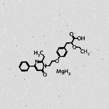 CCOC(Cc1ccc(OCCn2c(CC)nc(-c3ccccc3)cc2=O)cc1)C(=O)O.[MgH2]